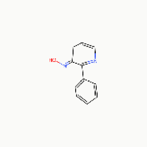 ON=C1[CH]C=CN=C1c1ccccc1